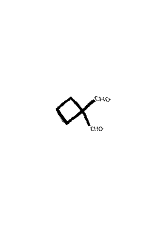 O=[C]C1([C]=O)CCC1